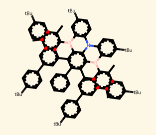 Cc1cc(C)c(B2c3cc(C(C)(C)C)ccc3N3c4ccc(C(C)(C)C)cc4B(c4c(C)cc(C)cc4C)c4c(-c5cc(-c6ccc(C(C)(C)C)cc6)cc(-c6ccc(C(C)(C)C)cc6)c5)c(-c5ccccc5)c(-c5cc(-c6ccc(C(C)(C)C)cc6)cc(-c6ccc(C(C)(C)C)cc6)c5)c2c43)c(C)c1